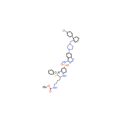 CC(C)(C)OC(=O)NCCCCC(CSc1ccccc1)Nc1ccc(S(=O)(=O)Nc2ncnc3cc(N4CCN(Cc5ccccc5-c5ccc(Cl)cc5)CC4)ccc23)cc1[N+](=O)[O-]